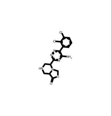 Nc1nc(C2CNCC3C(=O)OCN32)nnc1-c1cccc(Cl)c1Cl